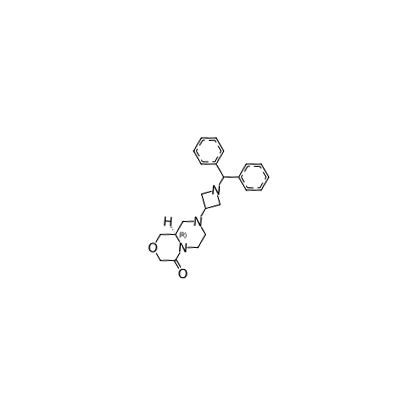 O=C1COC[C@H]2CN(C3CN(C(c4ccccc4)c4ccccc4)C3)CCN12